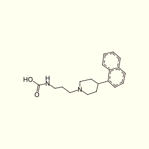 O=C(O)NCCCN1CCC(c2cccc3ccccc23)CC1